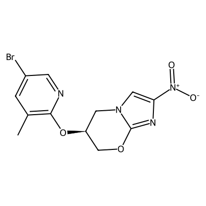 Cc1cc(Br)cnc1O[C@@H]1COc2nc([N+](=O)[O-])cn2C1